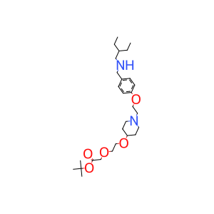 CCC(CC)CNCc1ccc(OCCN2CCC(OCCOCC(=O)OC(C)(C)C)CC2)cc1